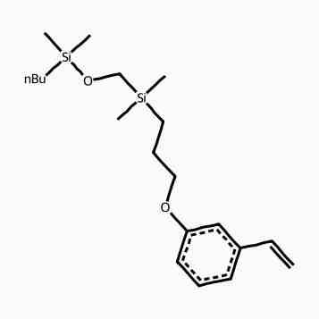 C=Cc1cccc(OCCC[Si](C)(C)CO[Si](C)(C)CCCC)c1